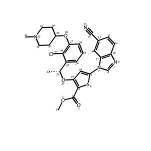 COC(=O)c1sc(-n2cnc3ccc(C#N)cc32)cc1O[C@H](C)c1cccc(OC2CCN(C)CC2)c1Cl